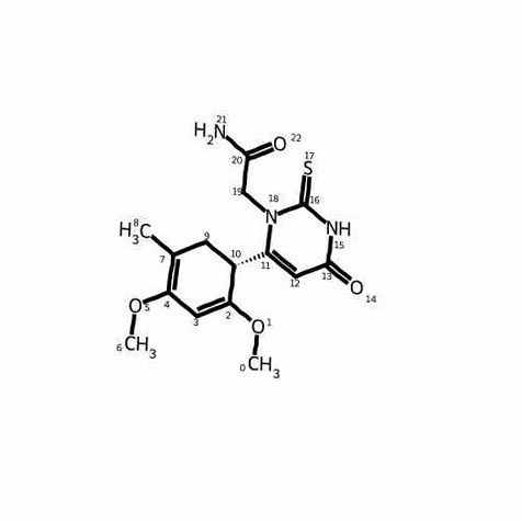 COC1=CC(OC)=C(C)C[C@@H]1c1cc(=O)[nH]c(=S)n1CC(N)=O